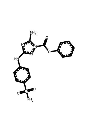 Nc1nc(Nc2ccc(S(N)(=O)=O)cc2)nn1C(=O)Oc1ccccc1